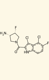 N[C@H]1CN(C(=O)c2[nH]c3ccc(F)c(Cl)c3c2Cl)C[C@H]1F